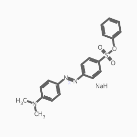 CN(C)c1ccc(/N=N/c2ccc(S(=O)(=O)Oc3ccccc3)cc2)cc1.[NaH]